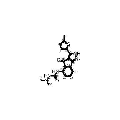 Cc1ccc(-c2[nH]nc3c2C(=O)c2c(NC(=O)NN(C)C)cccc2-3)s1